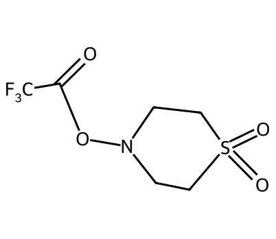 O=C(ON1CCS(=O)(=O)CC1)C(F)(F)F